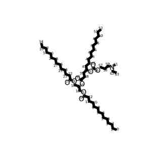 CCCCCCCCCCCCCC(=O)OCC(COC(=O)CCCCCCCCCCCCC)OC(=O)CCC(CCCCCCCCCCCC)OC(=O)OCCCN(C)CC